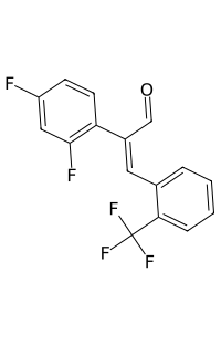 O=CC(=Cc1ccccc1C(F)(F)F)c1ccc(F)cc1F